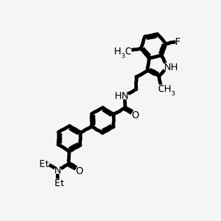 CCN(CC)C(=O)c1cccc(-c2ccc(C(=O)NCCc3c(C)[nH]c4c(F)ccc(C)c34)cc2)c1